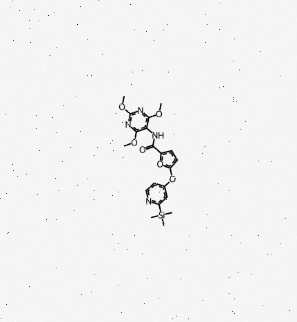 COc1nc(OC)c(NC(=O)c2ccc(Oc3ccnc([Si](C)(C)C)c3)o2)c(OC)n1